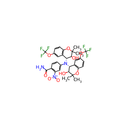 CC1(C)Oc2ccc(OC(F)(F)F)cc2[C@@H](N(c2ccc(C(N)=O)c([N+](=O)[O-])c2)[C@@H]2c3cc(OC(F)(F)F)ccc3OC(C)(C)[C@H]2O)[C@@H]1O